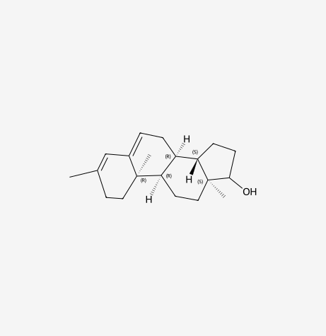 CC1=CC2=CC[C@@H]3[C@@H](CC[C@]4(C)C(O)CC[C@@H]34)[C@@]2(C)CC1